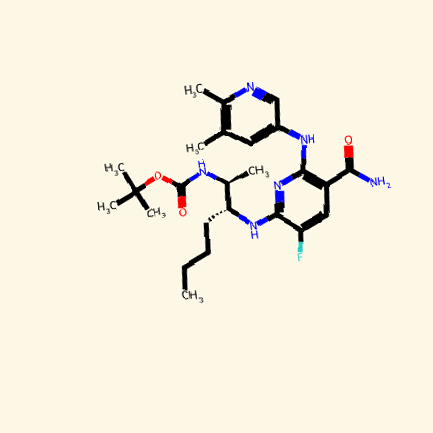 CCCC[C@@H](Nc1nc(Nc2cnc(C)c(C)c2)c(C(N)=O)cc1F)[C@H](C)NC(=O)OC(C)(C)C